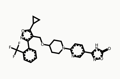 O=c1[nH]c(-c2ccc(N3CCC(OCc4c(-c5ccccc5C(F)(F)F)noc4C4CC4)CC3)nc2)no1